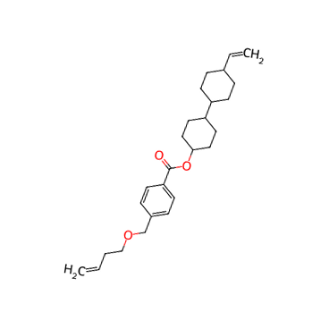 C=CCCOCc1ccc(C(=O)OC2CCC(C3CCC(C=C)CC3)CC2)cc1